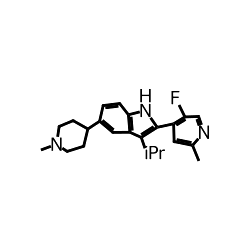 Cc1cc(-c2[nH]c3ccc(C4CCN(C)CC4)cc3c2C(C)C)c(F)cn1